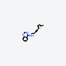 Cc1ccc(C#CCCNc2ncnc3ccccc23)s1